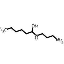 CCCCCC(O)NCCCN